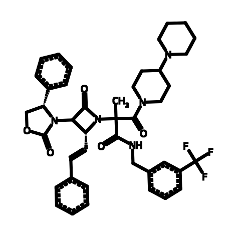 CC(C(=O)NCc1cccc(C(F)(F)F)c1)(C(=O)N1CCC(N2CCCCC2)CC1)N1C(=O)C(N2C(=O)OC[C@@H]2c2ccccc2)[C@H]1/C=C/c1ccccc1